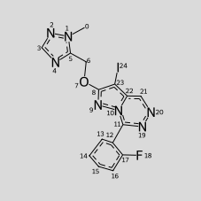 Cn1ncnc1COc1nn2c(-c3ccccc3F)nncc2c1I